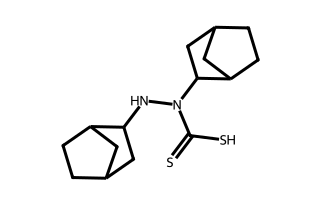 S=C(S)N(NC1CC2CCC1C2)C1CC2CCC1C2